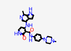 Cc1ncc(Nc2cc[nH]c(=O)c2C(=O)Nc2ccc(N3CCN(C)CC3)cc2)c2cc[nH]c12